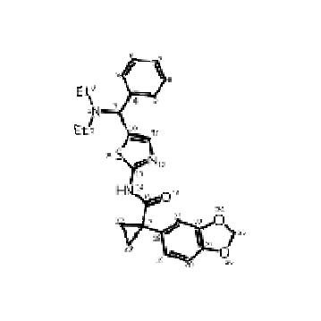 CCN(CC)C(c1ccccc1)c1cnc(NC(=O)C2(c3ccc4c(c3)OCO4)CC2)s1